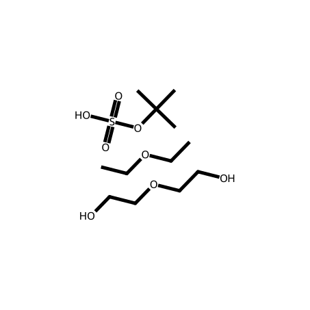 CC(C)(C)OS(=O)(=O)O.CCOCC.OCCOCCO